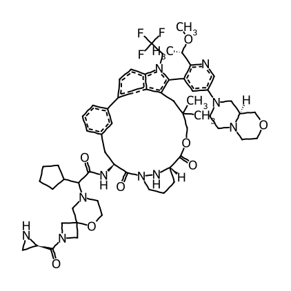 CO[C@@H](C)c1ncc(N2CCN3CCOC[C@@H]3C2)cc1-c1c2c3cc(ccc3n1CC(F)(F)F)-c1cccc(c1)C[C@H](NC(=O)C(C1CCCC1)N1CCOC3(CN(C(=O)[C@H]4CN4)C3)C1)C(=O)N1CCC[C@H](N1)C(=O)OCC(C)(C)C2